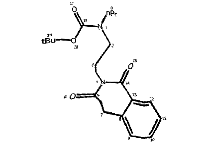 CCCN(CCN1C(=O)Cc2ccccc2C1=O)C(=O)OC(C)(C)C